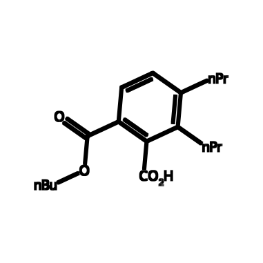 CCCCOC(=O)c1ccc(CCC)c(CCC)c1C(=O)O